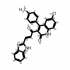 Cc1ccc(-c2c(C(=O)C=Cc3nc4ccccc4[nH]3)c(=O)[nH]c3ccc(Cl)cc23)cc1